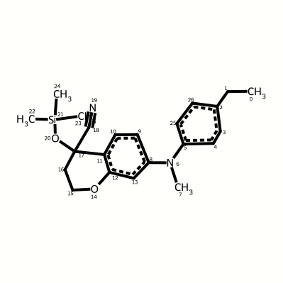 CCc1ccc(N(C)c2ccc3c(c2)OCCC3(C#N)O[Si](C)(C)C)cc1